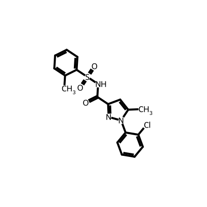 Cc1ccccc1S(=O)(=O)NC(=O)c1cc(C)n(-c2ccccc2Cl)n1